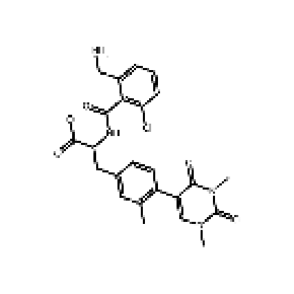 Cc1cc(CC(NC(=O)c2c(Cl)cccc2CN)C(=O)O)ccc1-c1cn(C)c(=O)n(C)c1=O